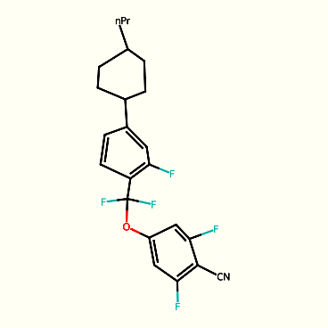 CCCC1CCC(c2ccc(C(F)(F)Oc3cc(F)c(C#N)c(F)c3)c(F)c2)CC1